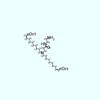 CCCCCCCC/C=C\CCCCCCCCN(CCCCCCCC/C=C\CCCCCCCC)CCC(=O)NCCN